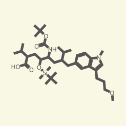 COCCCc1cn(C)c2ccc(CC(CC(NC(=O)OC(C)(C)C)C(CC(C(=O)O)C(C)C)O[Si](C)(C)C(C)(C)C)C(C)C)cc12